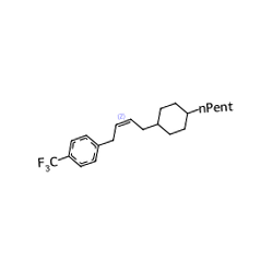 CCCCCC1CCC(C/C=C\Cc2ccc(C(F)(F)F)cc2)CC1